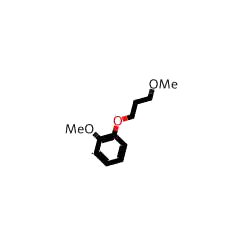 COCCCOc1ccc[c]c1OC